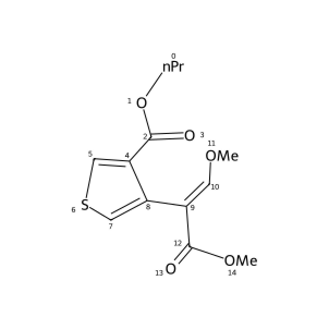 CCCOC(=O)c1cscc1/C(=C\OC)C(=O)OC